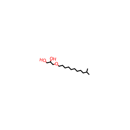 CC(C)CCCCCCCCCOCC(O)CO